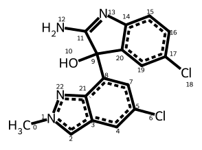 Cn1cc2cc(Cl)cc(C3(O)C(N)=Nc4ccc(Cl)cc43)c2n1